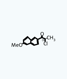 COc1ccc2cc(C(=O)[C@H](C)Cl)ccc2c1